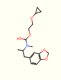 CC(Cc1ccc2c(c1)OCO2)N(C)C(O)OCCOC1CC1